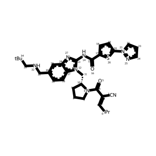 CC(C)/C=C(\C#N)C(=O)N1CCC[C@@H]1Cn1c(NC(=O)c2ccc(-n3cccn3)s2)nc2cc(CNCC(C)(C)C)ccc21